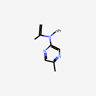 C=C(C)N(CCC)c1cnc(C)cn1